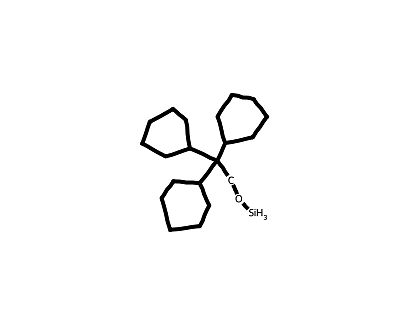 [SiH3]OCC(C1CCCCC1)(C1CCCCC1)C1CCCCC1